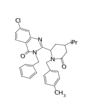 Cc1ccc(CN2C(=O)CC(C(C)C)CC2c2nc3cc(Cl)ccc3c(=O)n2Cc2ccccc2)cc1